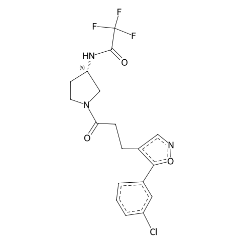 O=C(CCc1cnoc1-c1cccc(Cl)c1)N1CC[C@H](NC(=O)C(F)(F)F)C1